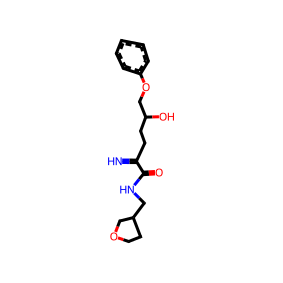 N=C(CCC(O)COc1ccccc1)C(=O)NCC1CCOC1